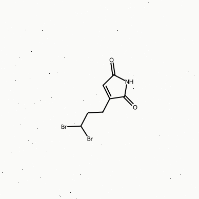 O=C1C=C(CCC(Br)Br)C(=O)N1